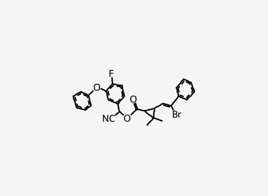 CC1(C)C(C=C(Br)c2ccccc2)C1C(=O)OC(C#N)c1ccc(F)c(Oc2ccccc2)c1